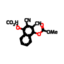 COC(=O)Oc1c(C#N)c(C#N)c(OC(=O)O)c2ccccc12